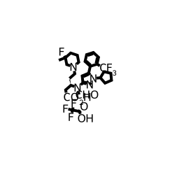 CC1(F)CCCN(CC[C@@H](CC(=O)O)N(C=O)c2cc(-c3ccccc3C(F)(F)F)n(C3CCCC3)n2)C1.O=C(O)C(F)(F)F